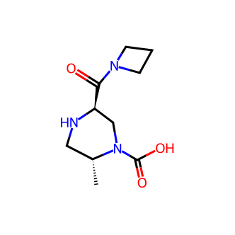 C[C@@H]1CN[C@@H](C(=O)N2CCC2)CN1C(=O)O